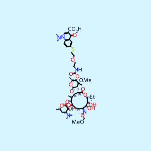 CC[C@H]1OC(=O)[C@H](C)[C@@H](O[C@H]2C[C@@](C)(OC)[C@@H](OC(=O)NCCOCCSc3ccc4c(c3)c(=O)c(C(=O)O)cn4N(C)C)[C@H](C)O2)[C@H](C)[C@@H](O[C@@H]2O[C@H](C)C[C@H](N(C)C)[C@H]2O)[C@](C)(O)C[C@@H](C)/C(=N\OCOC)[C@@H](O)[C@]1(C)O